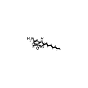 CCCCCCCC(=O)N[C@H](CC(N)O)P(=O)(F)OC